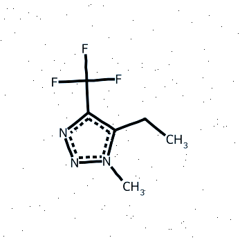 CCc1c(C(F)(F)F)nnn1C